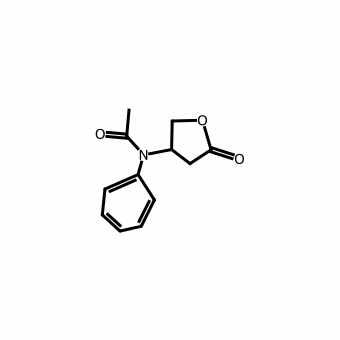 CC(=O)N(c1ccccc1)C1COC(=O)C1